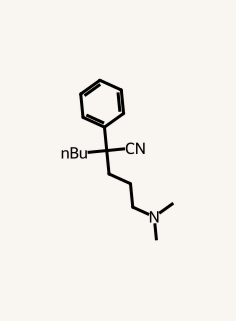 CCCCC(C#N)(CCCN(C)C)c1ccccc1